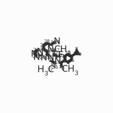 CCC(c1ccc(C2CC2)cc1F)N1C[C@H](CC)N(c2nc3nncn3c3ccc(C#N)nc23)C[C@H]1CC